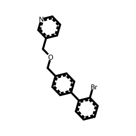 Brc1ccccc1-c1ccc(COCc2cccnc2)cc1